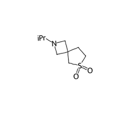 CC(C)N1CC2(CCS(=O)(=O)C2)C1